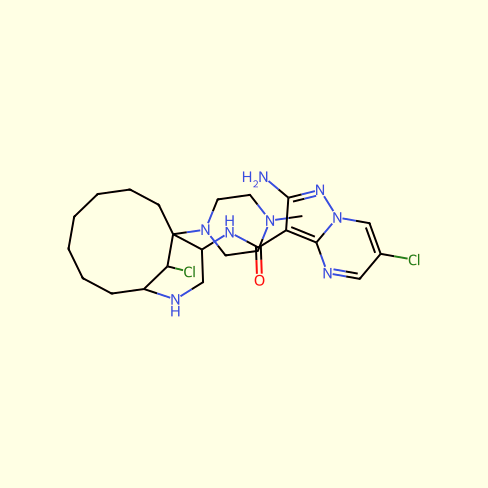 CN1CCN(C23CCCCCCCC(NCC2NC(=O)c2c(N)nn4cc(Cl)cnc24)C3Cl)CC1